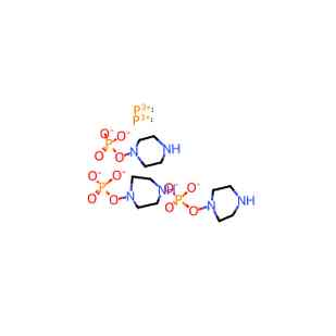 O=P([O-])([O-])ON1CCNCC1.O=P([O-])([O-])ON1CCNCC1.O=P([O-])([O-])ON1CCNCC1.[P+3].[P+3]